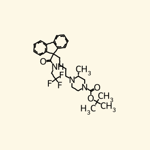 C[C@H]1CN(C(=O)OC(C)(C)C)CCN1CCCCC1(C(=O)NCC(F)(F)F)c2ccccc2-c2ccccc21